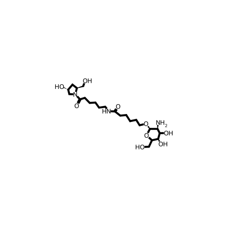 N[C@H]1C(O)[C@@H](O)C(CO)O[C@H]1OCCCCCC(=O)NCCCCCC(=O)N1C[C@H](O)C[C@H]1CO